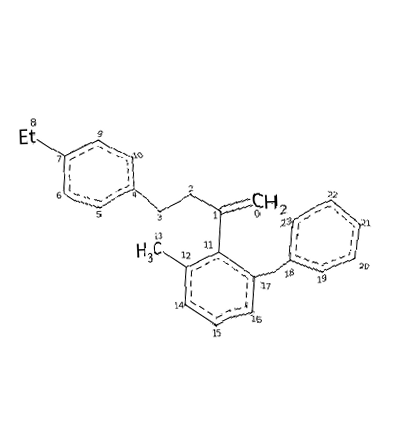 C=C(CCc1ccc(CC)cc1)c1c(C)cccc1-c1ccccc1